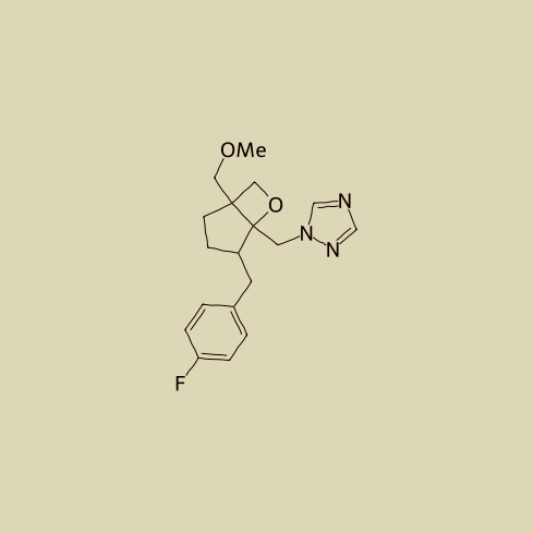 COCC12CCC(Cc3ccc(F)cc3)C1(Cn1cncn1)OC2